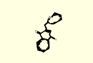 O=C1C=C(Cc2ccccn2)C(=O)c2ccccc21